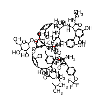 CN[C@H](CC(C)C)C(=O)N[C@H]1C(=O)N[C@@H](CC(N)=O)C(=O)N[C@H]2C(=O)N[C@H]3C(=O)N[C@H](C(=O)N[C@@H](C(=O)NOC)c4cc(O)cc(O)c4-c4cc3ccc4O)[C@H](O)c3ccc(c(Cl)c3)Oc3cc2cc(c3O[C@@H]2O[C@H](CO)[C@@H](O)[C@H](O)[C@H]2O[C@H]2C[C@](C)(NCc3cccc(NC(=O)Cc4ccc(OC(F)(F)F)cc4)c3)[C@H](O)[C@H](C)O2)Oc2ccc(cc2Cl)[C@H]1O